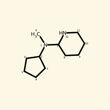 CN(C1CCCC1)C1CCCCN1